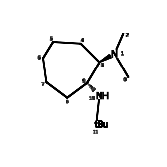 CN(C)[C@@H]1CCCCC[C@H]1NC(C)(C)C